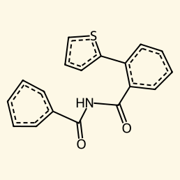 O=C(NC(=O)c1ccccc1-c1cccs1)c1ccccc1